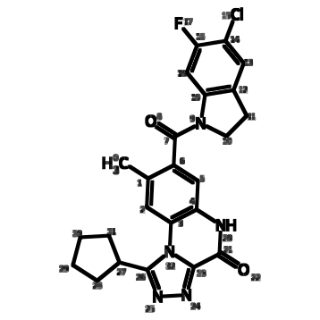 Cc1cc2c(cc1C(=O)N1CCc3cc(Cl)c(F)cc31)[nH]c(=O)c1nnc(C3CCCC3)n12